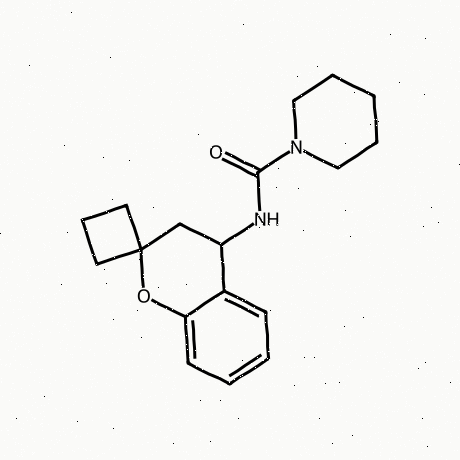 O=C(NC1CC2(CCC2)Oc2ccccc21)N1CCCCC1